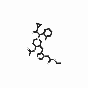 CCOC(=O)Cn1cncc1C=C1CN(C(C(=O)C2CC2)c2ccccc2F)CCC1SC(C)=O